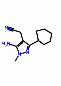 Cn1nc(C2CCCCC2)c(CC#N)c1N